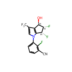 N#Cc1cccc(-n2cc(C(F)(F)F)c3c2[C@@H](F)[C@@H](F)[C@@H]3O)c1F